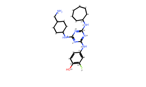 NCC1CCC(Nc2nc(Nc3ccc(O)c(F)c3)nc(NC3CCCCCC3)n2)CC1